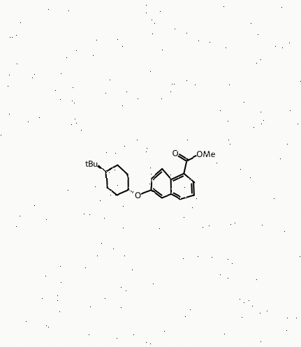 COC(=O)c1cccc2cc(O[C@H]3CC[C@H](C(C)(C)C)CC3)ccc12